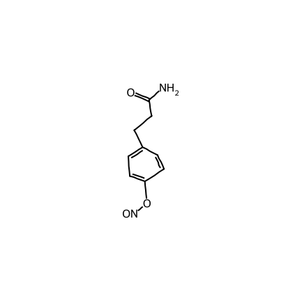 NC(=O)CCc1ccc(ON=O)cc1